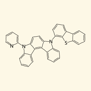 c1ccc(-n2c3ccccc3c3c4c5ccccc5n(-c5cccc6c5sc5ccccc56)c4ccc32)nc1